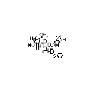 CC[C@H](C)[C@H](NC(=O)O)C(=O)NCC(=O)N1C[C@@H](Sc2ccccc2)C[C@H]1C(=O)NCc1nn[nH]n1